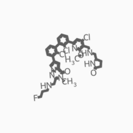 COc1nc(-c2cccc(-c3cccc(-c4cc5c(=O)n(C)c(CNCCCF)nn5c4)c3Cl)c2Cl)cc(Cl)c1CNCC1CCC(=O)N1